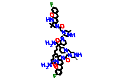 C[C@@H]1CN(CC(=O)N2CC(C)(C)c3[nH]c(=O)c(Cc4ccc(F)cc4)cc32)[C@@H](CN2CCCC(C(CCCCCCCC(N)=O)(C(N)=O)C3CCCN(C[C@H]4CN[C@H](C)CN4CC(=O)N4CC(C)(C)c5[nH]c(=O)c(Cc6ccc(F)cc6)cc54)C3)C2)CN1